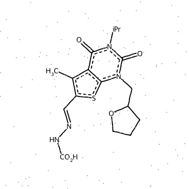 Cc1c(C=NNC(=O)O)sc2c1c(=O)n(C(C)C)c(=O)n2CC1CCCO1